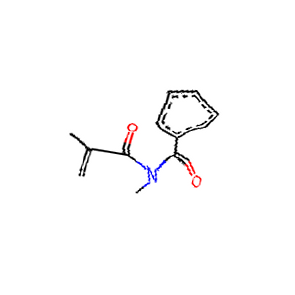 C=C(C)C(=O)N(C)C(=O)c1ccccc1